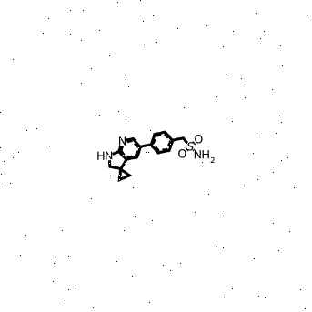 NS(=O)(=O)Cc1ccc(-c2cnc3c(c2)C2(CC2)CN3)cc1